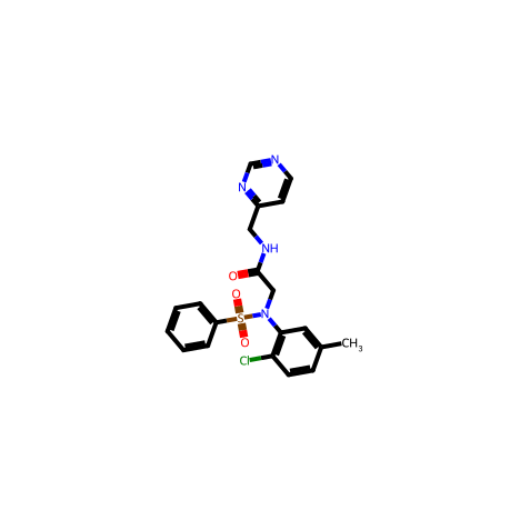 Cc1ccc(Cl)c(N(CC(=O)NCc2ccncn2)S(=O)(=O)c2ccccc2)c1